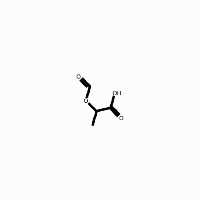 CC(OC=O)C(=O)O